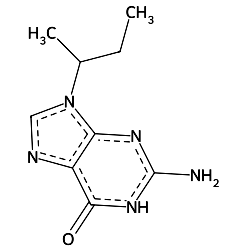 CCC(C)n1cnc2c(=O)[nH]c(N)nc21